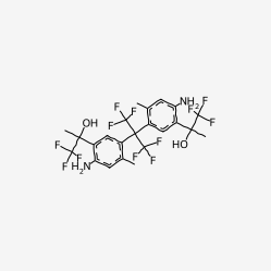 Cc1cc(N)c(C(C)(O)C(F)(F)F)cc1C(c1cc(C(C)(O)C(F)(F)F)c(N)cc1C)(C(F)(F)F)C(F)(F)F